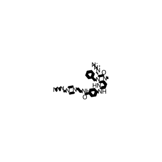 CN1C(=O)[C@@H](CN=[N+]=[N-])N(Cc2ccccc2)C2NC(Nc3ccc(C(=O)NCCN4CCN(CN=[N+]=[N-])CC4)cc3)=CC=C21